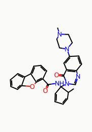 CC1C=CC=CC1(NC(=O)c1cccc2c1oc1ccccc12)n1cnc2ccc(N3CCN(C)CC3)cc2c1=O